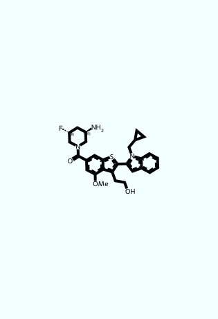 COc1cc(C(=O)N2C[C@H](N)C[C@@H](F)C2)cc2sc(-c3cc4ccccc4n3CC3CC3)c(CCO)c12